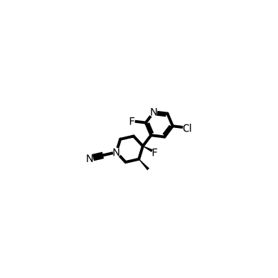 C[C@H]1CN(C#N)CC[C@]1(F)c1cc(Cl)cnc1F